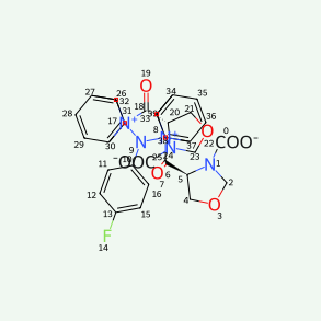 O=C([O-])N1COC[C@H]1C(=O)[N+]1(N(c2ccc(F)cc2)[N+]2(C(=O)[C@@H]3COCN3C(=O)[O-])Cc3ccc2cc3)Cc2ccc1cc2